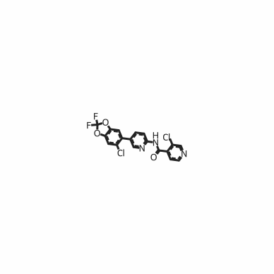 O=C(Nc1ccc(-c2cc3c(cc2Cl)OC(F)(F)O3)cn1)c1ccncc1Cl